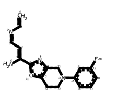 C=C/N=C\C=C(/N)c1nc2c(o1)CCN(c1cccc(F)c1)C2